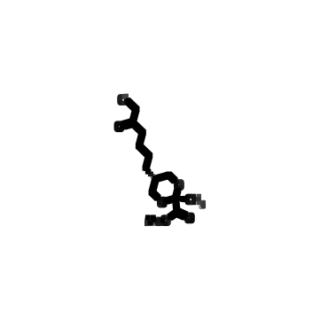 COC(=O)[C@]1(C)OC[C@H](CCCCC(=O)CCl)CO1